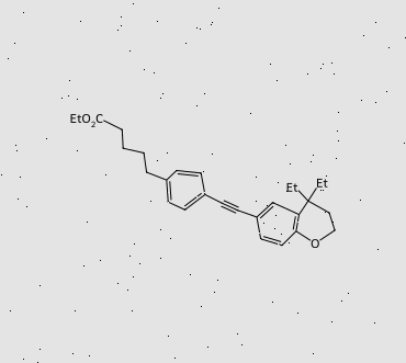 CCOC(=O)CCCCc1ccc(C#Cc2ccc3c(c2)C(CC)(CC)CCO3)cc1